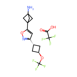 NC12CC(c3cc([C@H]4C[C@H](OC(F)(F)F)C4)no3)(C1)C2.O=C(O)C(F)(F)F